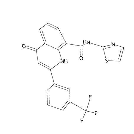 O=C(Nc1nccs1)c1cccc2c(=O)cc(-c3cccc(C(F)(F)F)c3)[nH]c12